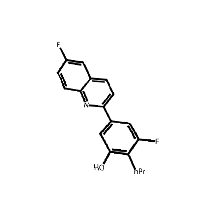 CCCc1c(O)cc(-c2ccc3cc(F)ccc3n2)cc1F